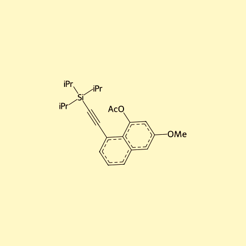 COc1cc(OC(C)=O)c2c(C#C[Si](C(C)C)(C(C)C)C(C)C)cccc2c1